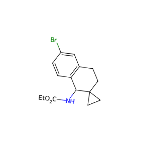 CCOC(=O)NC1c2ccc(Br)cc2CCC12CC2